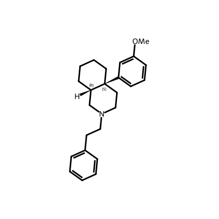 COc1cccc([C@]23CCCC[C@H]2CN(CCc2ccccc2)CC3)c1